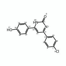 O=c1nc(-c2ccc(Cl)cc2)cc(-c2ccc(O)cc2)[nH]1